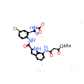 COC(=O)CC(=O)Nc1cccc2cc(C(=O)Nc3ccc(Cl)cc3-c3noc(=O)[nH]3)[nH]c12